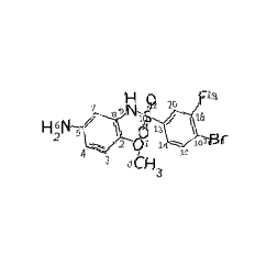 COc1ccc(N)cc1NS(=O)(=O)c1ccc(Br)c(F)c1